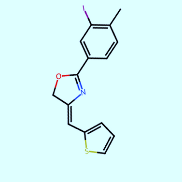 Cc1ccc(C2=N/C(=C\c3cccs3)CO2)cc1I